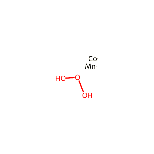 OOO.[Co].[Mn]